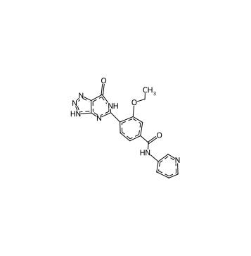 CCOc1cc(C(=O)Nc2cccnc2)ccc1-c1nc2[nH]nnc2c(=O)[nH]1